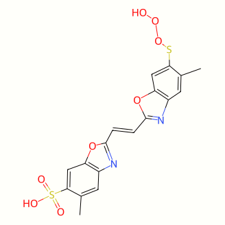 Cc1cc2nc(C=Cc3nc4cc(C)c(S(=O)(=O)O)cc4o3)oc2cc1SOOO